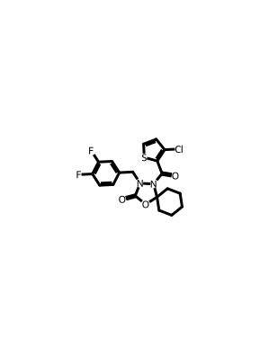 O=C1OC2(CCCCC2)N(C(=O)c2sccc2Cl)N1Cc1ccc(F)c(F)c1